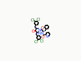 O=C1/C(=C/c2ccc(Cl)c(Cl)c2)CN(C(=O)[C@H](Cc2ccccc2)NC(=O)c2ccccn2)C/C1=C\c1ccc(Cl)c(Cl)c1